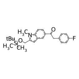 Cn1c(CO[Si](C)(C)C(C)(C)C)cc2cc(C(=O)Cc3ccc(F)cc3)ccc21